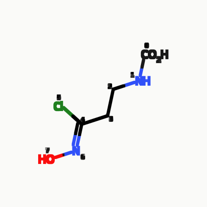 O=C(O)NCCC(Cl)=NO